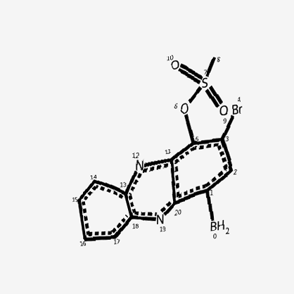 Bc1cc(Br)c(OS(C)(=O)=O)c2nc3ccccc3nc12